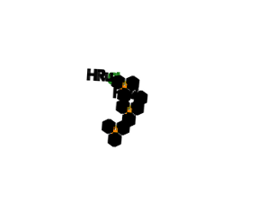 Cc1ccccc1.[Cl][RuH].c1ccc(P(c2ccccc2)c2ccccc2)cc1.c1ccc(P(c2ccccc2)c2ccccc2)cc1.c1ccc(P(c2ccccc2)c2ccccc2)cc1